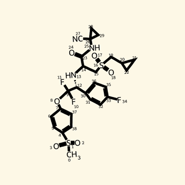 CS(=O)(=O)c1ccc(OC(F)(F)[C@H](NC(CS(=O)(=O)CC2CC2)C(=O)NC2(C#N)CC2)c2ccc(F)cc2)cc1